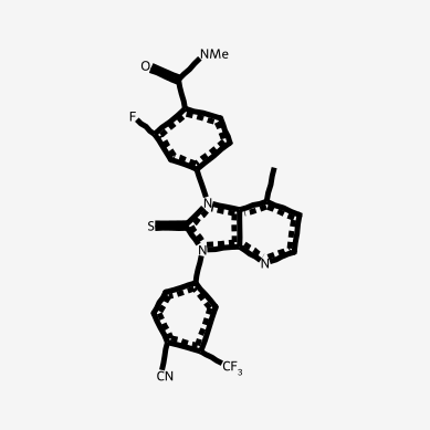 CNC(=O)c1ccc(-n2c(=S)n(-c3ccc(C#N)c(C(F)(F)F)c3)c3nccc(C)c32)cc1F